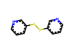 [c]1ncccc1SSc1[c]nccc1